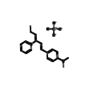 CCC=C(C=Cc1ccc(N(C)C)cc1)[n+]1ccccc1.[O-][Cl+3]([O-])([O-])[O-]